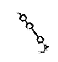 ClC[C@@H]1C[C@H]1c1ccc(C#Cc2ccc(-c3ccc(Cl)cc3)cn2)cc1